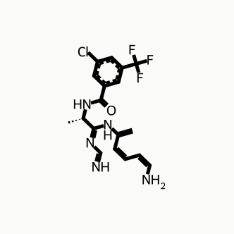 C=C(/C=C\C=C/N)N/C(=N\C=N)[C@H](C)NC(=O)c1cc(Cl)cc(C(F)(F)F)c1